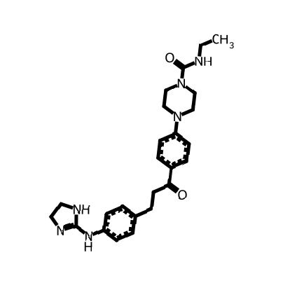 CCNC(=O)N1CCN(c2ccc(C(=O)CCc3ccc(NC4=NCCN4)cc3)cc2)CC1